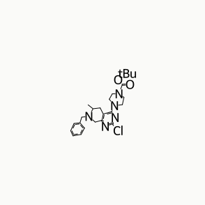 CC1Cc2c(nc(Cl)nc2N2CCN(C(=O)OC(C)(C)C)CC2)CN1Cc1ccccc1